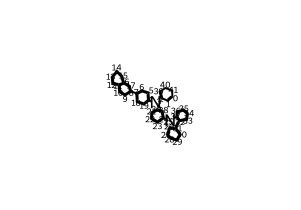 C1=CC(N(c2ccc(-c3ccc4ccccc4c3)cc2)c2cccc(-n3c4ccccc4c4ccccc43)c2)=CCC1